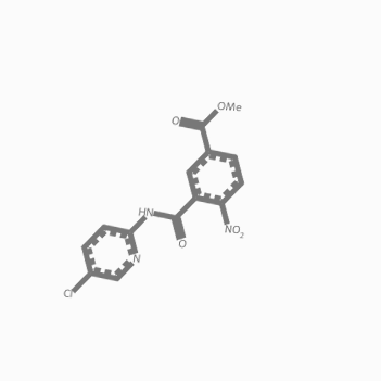 COC(=O)c1ccc([N+](=O)[O-])c(C(=O)Nc2ccc(Cl)cn2)c1